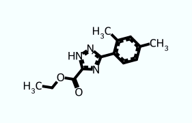 CCOC(=O)c1nc(-c2ccc(C)cc2C)n[nH]1